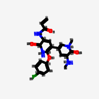 C=CC(=O)Nc1cc(-c2cc(NC)c(=O)n(C)c2)c(Oc2ccc(F)cc2)[nH]c1=O